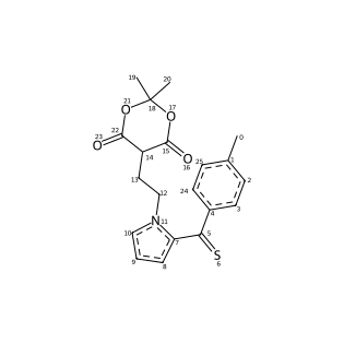 Cc1ccc(C(=S)c2cccn2CCC2C(=O)OC(C)(C)OC2=O)cc1